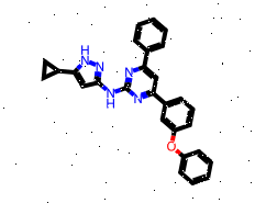 c1ccc(Oc2cccc(-c3cc(-c4ccccc4)nc(Nc4cc(C5CC5)[nH]n4)n3)c2)cc1